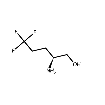 N[C@H](CO)CCC(F)(F)F